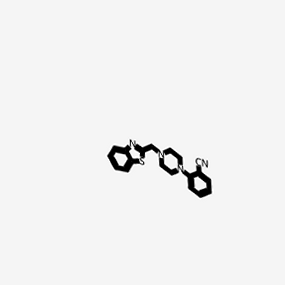 N#Cc1ccccc1N1CCN(Cc2nc3ccccc3s2)CC1